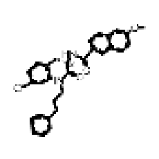 COc1ccc2cc(C(=O)N[C@@H](Cc3ccc(Cl)cc3)C(=O)NCCCc3ccccc3)ccc2c1